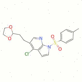 Cc1ccc(S(=O)(=O)n2ccc3c(Cl)c(CCC4OCCO4)cnc32)cc1